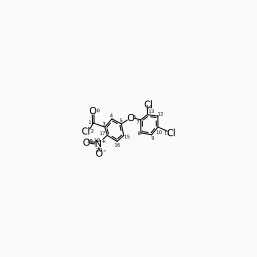 O=C(Cl)c1cc(Oc2ccc(Cl)cc2Cl)ccc1[N+](=O)[O-]